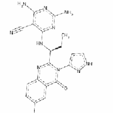 CC[C@H](Nc1nc(N)nc(N)c1C#N)c1nc2ccc(F)cc2c(=O)n1-c1cc[nH]n1